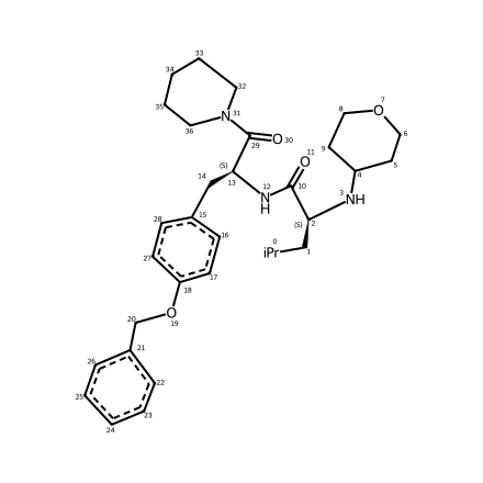 CC(C)C[C@H](NC1CCOCC1)C(=O)N[C@@H](Cc1ccc(OCc2ccccc2)cc1)C(=O)N1CCCCC1